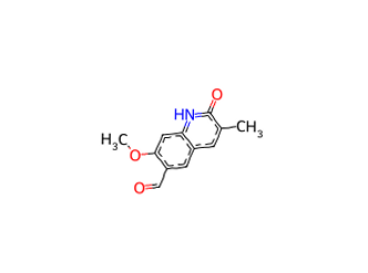 COc1cc2[nH]c(=O)c(C)cc2cc1C=O